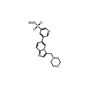 CNS(=O)(=O)c1cncc(-c2ccc3ncc(CN4CCOCC4)n3c2)c1